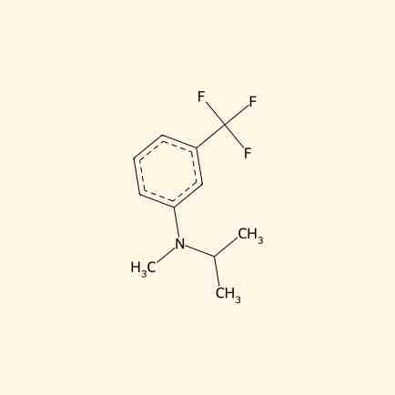 CC(C)N(C)c1cccc(C(F)(F)F)c1